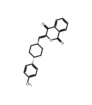 Cc1ccc([C@H]2CC[C@H](/C=C3\OC(=O)c4ccccc4C3=O)CC2)cc1